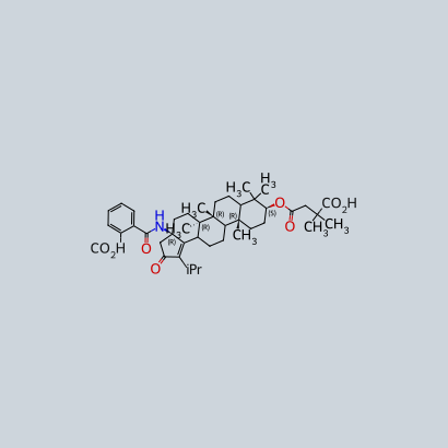 CC(C)C1=C2C3CCC4[C@@]5(C)CC[C@H](OC(=O)CC(C)(C)C(=O)O)C(C)(C)C5CC[C@@]4(C)[C@]3(C)CC[C@@]2(NC(=O)c2ccccc2C(=O)O)CC1=O